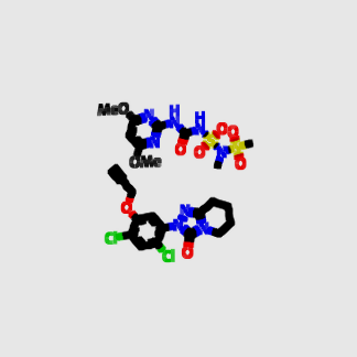 C#CCOc1cc(-n2nc3n(c2=O)CCCC3)c(Cl)cc1Cl.COc1cc(OC)nc(NC(=O)NS(=O)(=O)N(C)S(C)(=O)=O)n1